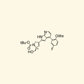 COc1ccc(F)cc1-c1ccnc2[nH]c(C3=C[C@@H](CO)N(C(=O)OC(C)(C)C)C3)cc12